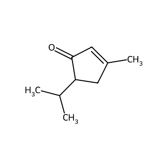 CC1=CC(=O)C(C(C)C)C1